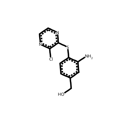 Nc1cc(CO)ccc1Sc1nccnc1Cl